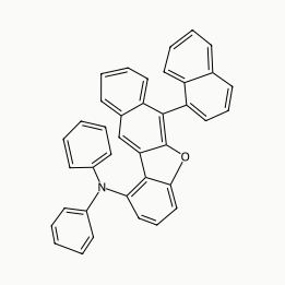 c1ccc(N(c2ccccc2)c2cccc3oc4c(-c5cccc6ccccc56)c5ccccc5cc4c23)cc1